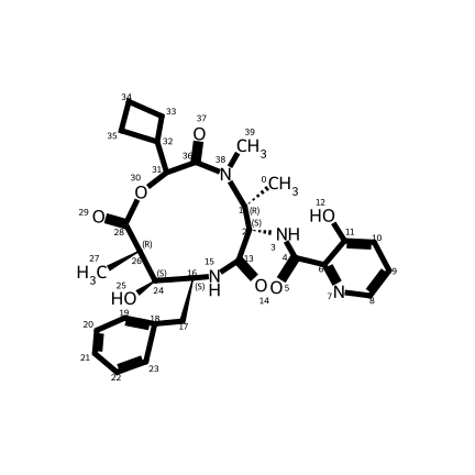 C[C@@H]1[C@H](NC(=O)c2ncccc2O)C(=O)N[C@@H](Cc2ccccc2)[C@@H](O)[C@@H](C)C(=O)OC(C2CCC2)C(=O)N1C